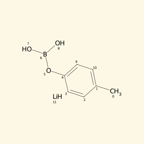 Cc1ccc(OB(O)O)cc1.[LiH]